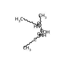 CCCCCCCCCCCCCC(=O)N[C@@H](CO)COCC[C@H](CCCCCCC)NC(=O)CCCCCCCCCCC